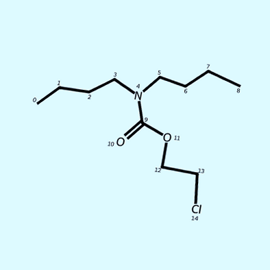 CCCCN(CCCC)C(=O)OCCCl